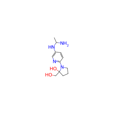 CC(N)Nc1ccc(N2CCCC2(O)CO)nc1